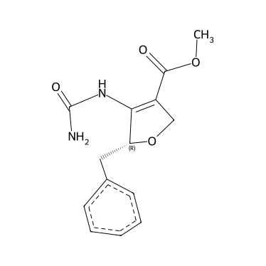 COC(=O)C1=C(NC(N)=O)[C@@H](Cc2ccccc2)OC1